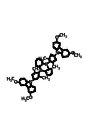 COc1ccc2c(c1)c1cc(OC)ccc1n2-c1cc(C)c(B2c3ccccc3B(c3c(C)cc(-n4c5ccc(OC)cc5c5cc(OC)ccc54)cc3C)c3ccccc32)c(C)c1